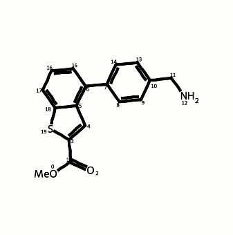 COC(=O)c1cc2c(-c3ccc(CN)cc3)cccc2s1